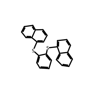 c1ccc(Sc2cccc3ccccc23)c(Sc2cccc3ccccc23)c1